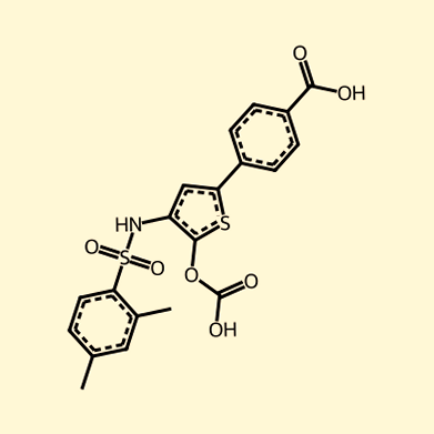 Cc1ccc(S(=O)(=O)Nc2cc(-c3ccc(C(=O)O)cc3)sc2OC(=O)O)c(C)c1